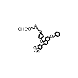 CN(CCOCC=O)CCOc1ccc(Oc2c(-c3ccc(S(C)(=O)=O)cc3)ccc3cc(OCc4ccccc4)ccc23)cc1